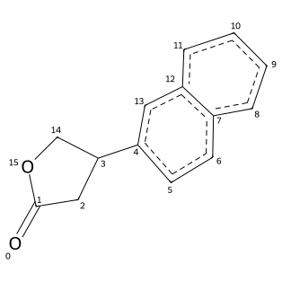 O=C1CC(c2ccc3ccccc3c2)CO1